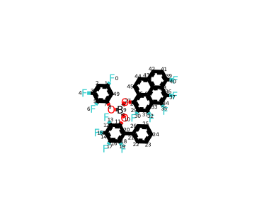 Fc1cc(F)c(F)c(OB(Oc2c(F)c(F)c(F)c(F)c2-c2ccccc2)Oc2c(F)c(F)c3c(F)c(F)c4c(F)ccc5ccc2c3c54)c1